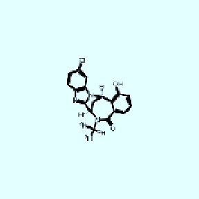 [2H]C([2H])([2H])N1C(=O)c2cccc(O)c2[C@H]2C[C@@H]1c1nc3ccc(Cl)cc3n12